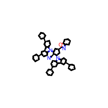 N#Cc1c(-n2c3ccc(-c4ccccc4)cc3c3cc(-c4ccccc4)ccc32)cc(-c2nc3ccccc3o2)cc1-n1c2ccc(-c3ccccc3)cc2c2cc(-c3ccccc3)ccc21